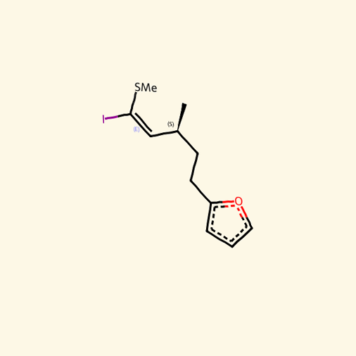 CS/C(I)=C\[C@@H](C)CCc1ccco1